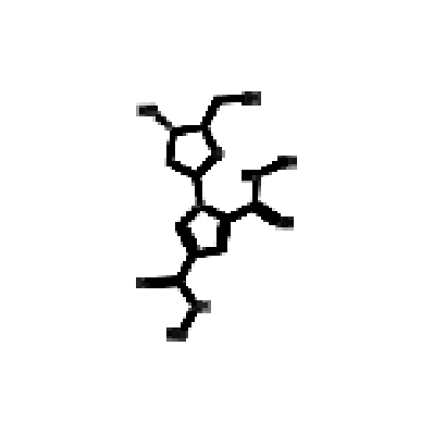 N=C(NO)c1cc(C(=N)NO)n(C2C[C@H](O)C(CO)O2)c1